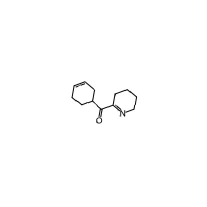 O=C(C1=NCCCC1)C1CC=CCC1